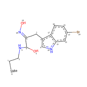 CSCCNC(O)/C(Cc1c[nH]c2cc(Br)ccc12)=N/O